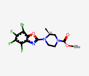 C[C@H]1CN(C(=O)OC(C)(C)C)CCN1c1nc2c(F)c(F)c(F)c(Br)c2o1